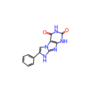 O=c1[nH]c(=O)c2c(nc3[nH]c(-c4ccccc4)cn32)[nH]1